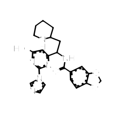 Cc1cc(C(CC2CCCCN2)NC(=O)c2ccc3c(c2)OCO3)nc(-n2ccnc2)n1